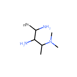 CCCC(N)C(N)C(C)N(C)C